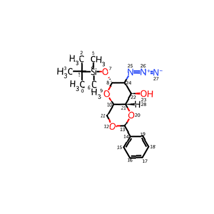 CC(C)(C)[Si](C)(C)O[C@H]1OC2COC(c3ccccc3)O[C@H]2[C@H](O)C1N=[N+]=[N-]